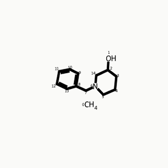 C.OC1CCCN(Cc2ccccc2)C1